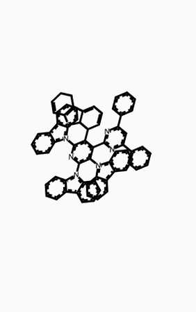 C1=CC(c2c(-n3c4ccccc4c4ccccc43)nc(-n3c4ccccc4c4ccccc43)c(-n3c4ccccc4c4ccccc43)c2-c2nc(-c3ccccc3)cc(-c3ccccc3)n2)C2OC3=C(CCC=C3)C2=C1